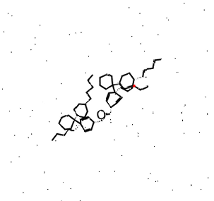 CCCCC[C@H]1CC[C@H](C2([C@]3(CCCCC)C=C[C@@H](COC[C@H]4C=C[C@](CCCCC)(C5([C@H]6CC[C@H](CCCCC)CC6)CCCCC5)C=C4)C=C3)CCCCC2)CC1